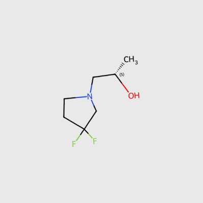 C[C@H](O)CN1CCC(F)(F)C1